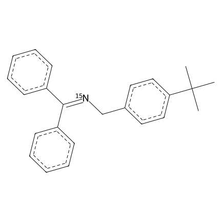 CC(C)(C)c1ccc(C[15N]=C(c2ccccc2)c2ccccc2)cc1